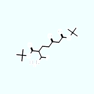 CC(C)(C)OC(=O)CC(=O)CCC(C(=O)OC(C)(C)C)C(N)F